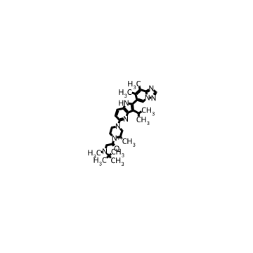 Cc1c(-c2[nH]c3ccc(N4CCN(C(=O)CN(C)C(C)(C)C)[C@H](C)C4)nc3c2C(C)C)cn2ncnc2c1C